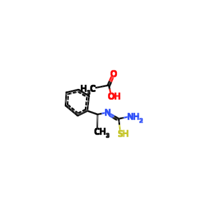 CC(=O)O.CC(N=C(N)S)c1ccccc1